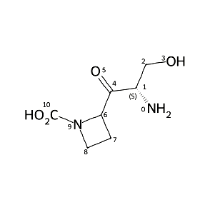 N[C@@H](CO)C(=O)C1CCN1C(=O)O